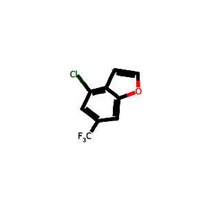 FC(F)(F)c1cc(Cl)c2[c]coc2c1